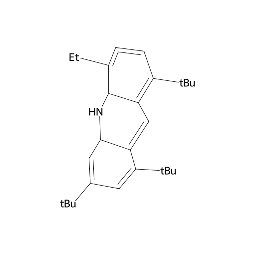 CCC1=C=CC(C(C)(C)C)=C2C=C3C(C(C)(C)C)=CC(C(C)(C)C)=CC3NC12